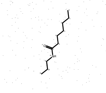 CCCCCCC(=O)NCCC